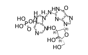 Nc1nc2c(ncn2[C@@H]2O[C@H](CO)[C@@H](O)[C@H]2O)c(=O)[nH]1.O=P(O)(O)O.c1ncc2[nH]cnc2n1